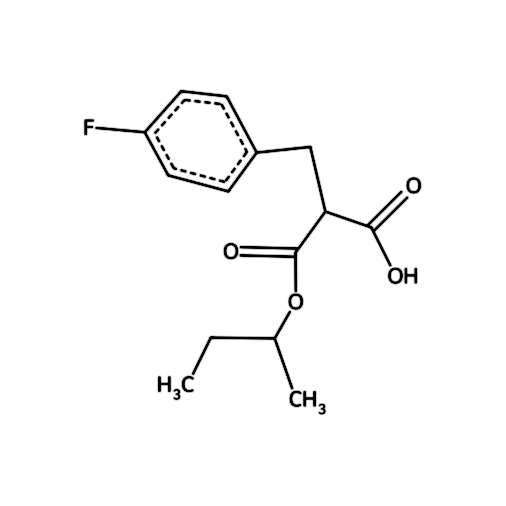 CCC(C)OC(=O)C(Cc1ccc(F)cc1)C(=O)O